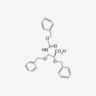 O=C(N[C@@H](OCc1ccccc1)[C@H](OCc1ccccc1)C(=O)O)OCc1ccccc1